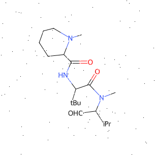 CC(C)C(C=O)N(C)C(=O)C(NC(=O)C1CCCCN1C)C(C)(C)C